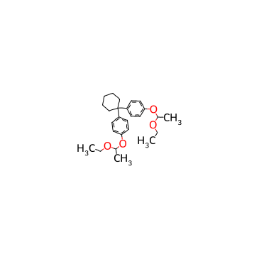 CCOC(C)Oc1ccc(C2(c3ccc(OC(C)OCC)cc3)CCCCC2)cc1